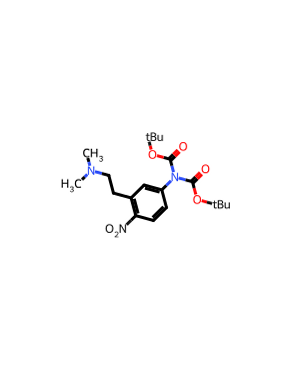 CN(C)CCc1cc(N(C(=O)OC(C)(C)C)C(=O)OC(C)(C)C)ccc1[N+](=O)[O-]